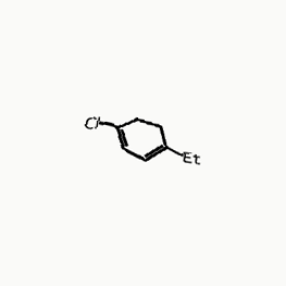 CCC1=CC=C(Cl)CC1